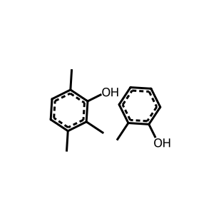 Cc1ccc(C)c(O)c1C.Cc1ccccc1O